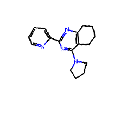 c1ccc(-c2nc3c(c(N4CCCC4)n2)CCCC3)nc1